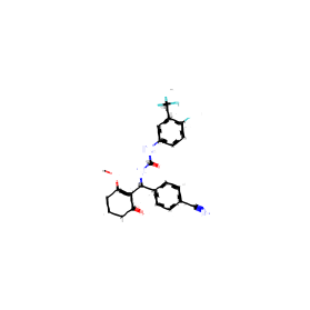 COC1=C(C(NC(=O)Nc2ccc(F)c(C(F)(F)F)c2)c2ccc(C#N)cc2)C(=O)CCC1